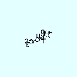 CC(C)C[C@H](N[C@H](c1ccc(-c2ccc(S(C)(=O)=O)cc2)cc1)C(F)(F)F)C(=O)O